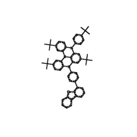 CC(C)(C)c1ccc(N2c3ccc(C(C)(C)C)cc3B3c4cc(C(C)(C)C)ccc4N(c4ccc(-c5cccc6c5oc5ccccc56)cc4)c4cc(C(C)(C)C)cc2c43)cc1